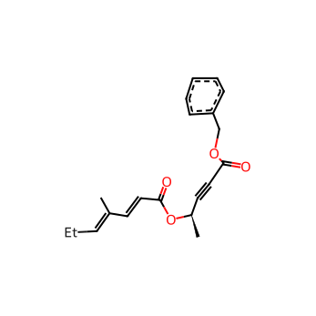 CC/C=C(C)/C=C/C(=O)O[C@H](C)C#CC(=O)OCc1ccccc1